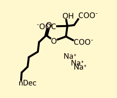 CCCCCCCCCCCCCCCC(=O)OC(C(=O)[O-])C(O)(CC(=O)[O-])C(=O)[O-].[Na+].[Na+].[Na+]